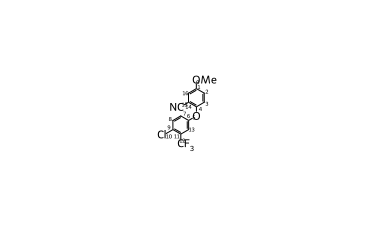 COc1ccc(Oc2ccc(Cl)c(C(F)(F)F)c2)c(C#N)c1